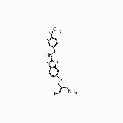 COc1ccc(CNc2nc3ccc(OC/C(=C\F)CN)cc3o2)cn1